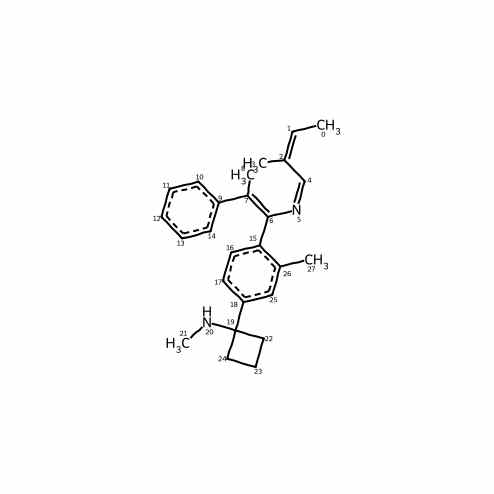 C\C=C(C)/C=N\C(=C(/C)c1ccccc1)c1ccc(C2(NC)CCC2)cc1C